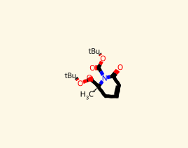 CC(C)(C)OC(=O)N1C(=O)C=CC[C@@]1(C)C(=O)OC(C)(C)C